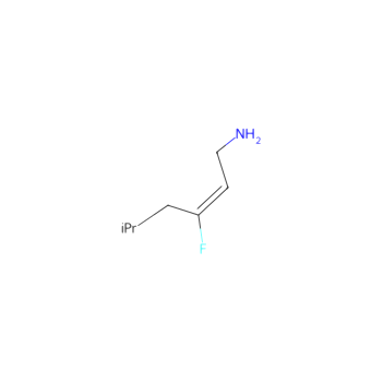 CC(C)C/C(F)=C\CN